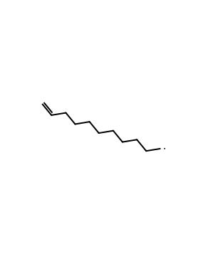 [CH2]CCCCCCCCC=C